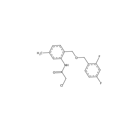 Cc1ccc(COCc2ccc(F)cc2F)c(NC(=O)CCl)c1